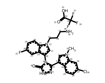 Cn1cc(-c2n[nH]c(=O)n2-c2cn(CCCN)c3ccc(F)cc23)c2ccc(Cl)cc21.O=C(O)C(F)(F)F